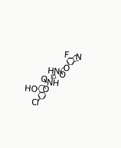 O=C(COc1cc(F)c2c(c1)CN=C2)NC12CC(NC(=O)[C@H]3C[C@@H](O)c4cc(Cl)ccc4O3)(C1)C2